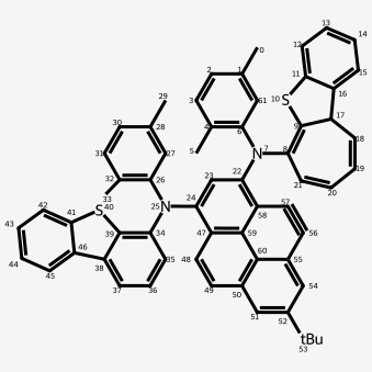 Cc1ccc(C)c(N(C2=C3Sc4ccccc4C3C=CC=C2)c2cc(N(c3cc(C)ccc3C)c3cccc4c3sc3ccccc34)c3ccc4cc(C(C)(C)C)cc5c#cc2c3c54)c1